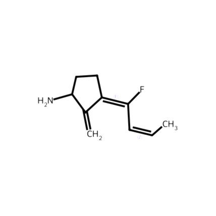 C=C1/C(=C(F)\C=C/C)CCC1N